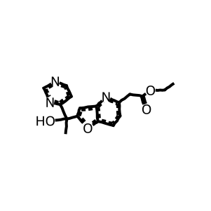 CCOC(=O)Cc1ccc2oc(C(C)(O)c3ccncn3)cc2n1